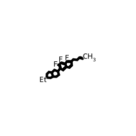 CC=CCCc1ccc2cc(C3CCC4CC(CC)CCC4C3)c(F)c(F)c2c1F